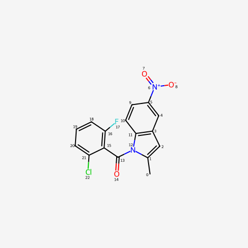 Cc1cc2cc([N+](=O)[O-])ccc2n1C(=O)c1c(F)cccc1Cl